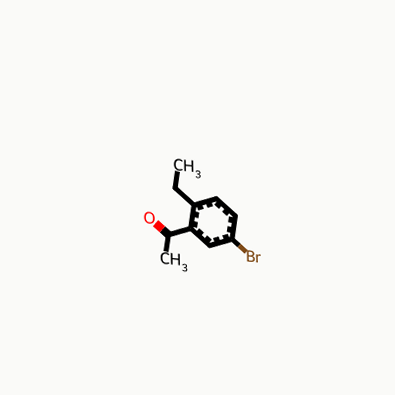 CCc1ccc(Br)cc1C(C)=O